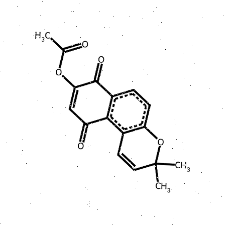 CC(=O)OC1=CC(=O)c2c(ccc3c2C=CC(C)(C)O3)C1=O